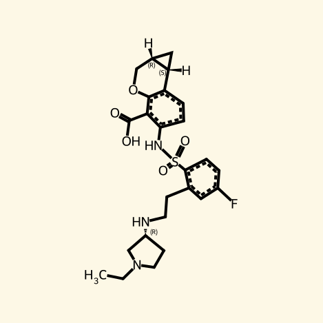 CCN1CC[C@@H](NCCc2cc(F)ccc2S(=O)(=O)Nc2ccc3c(c2C(=O)O)OC[C@@H]2C[C@H]32)C1